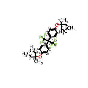 CCC(C)(CC)Oc1ccc(C(c2ccc(OC(C)(CC)CC)cc2)(C(F)(F)F)C(F)(F)F)cc1